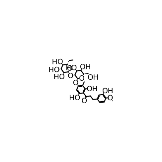 CC[C@@H]1O[C@@H](O[C@H]2[C@H](Oc3cc(O)c(C(=O)CCc4ccc(OC)c(O)c4)c(O)c3C)O[C@H](CO)[C@@H](O)[C@@H]2O)[C@H](O)[C@H](O)[C@H]1O